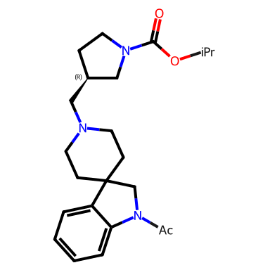 CC(=O)N1CC2(CCN(C[C@H]3CCN(C(=O)OC(C)C)C3)CC2)c2ccccc21